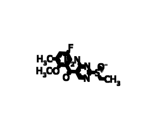 CC[S+]([O-])c1ncc(C(=O)c2cc(F)cc(C)c2OC)c(N)n1